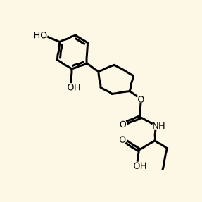 CCC(NC(=O)OC1CCC(c2ccc(O)cc2O)CC1)C(=O)O